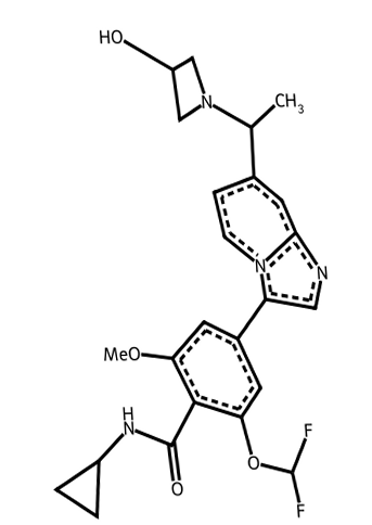 COc1cc(-c2cnc3cc(C(C)N4CC(O)C4)ccn23)cc(OC(F)F)c1C(=O)NC1CC1